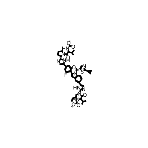 CCCCN(C(=O)C(NC(=O)OC)C(C)C)c1ncc(-c2ccc3c(c2)cc2n3[C@H](c3cnc(C4CC4)s3)Oc3cc(-c4cnc([C@@H]5CCCN5C(=O)C(NC(=O)OC)C(C)C)[nH]4)cc(F)c3-2)[nH]1